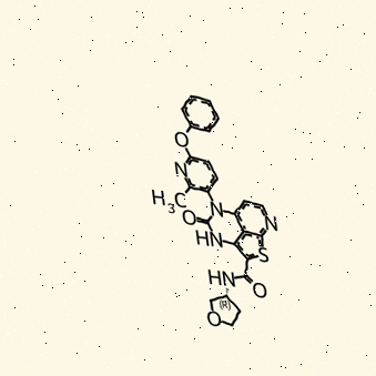 Cc1nc(Oc2ccccc2)ccc1N1C(=O)Nc2c(C(=O)N[C@@H]3CCOC3)sc3nccc1c23